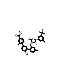 COC(=O)c1ccc(-c2ccc(Cl)c(-c3ccc(C)cc3CN3C(=O)O[C@H](c4cc(C)cc(C(F)(F)F)c4)[C@@H]3C)c2)c(C)c1